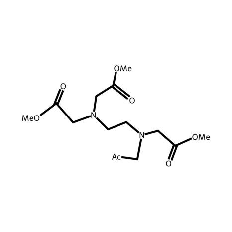 COC(=O)CN(CCN(CC(=O)OC)CC(=O)OC)CC(C)=O